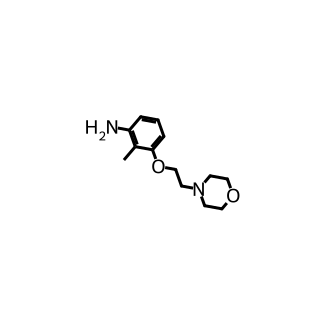 Cc1c(N)cccc1OCCN1CCOCC1